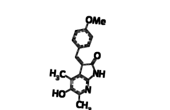 COc1ccc(/C=C2\C(=O)Nc3nc(C)c(O)c(C)c32)cc1